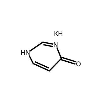 O=c1cc[nH]cn1.[KH]